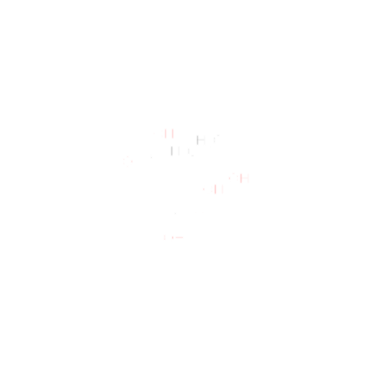 CCO.CCO.O=C(O)/C=C/C(=O)O